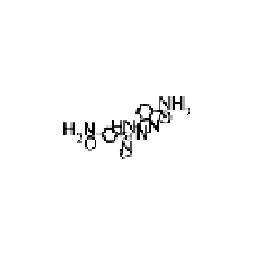 NC(=O)c1ccc([C@@H](CN2CCC2)Nc2ncnc3c(C(N)=O)cccc23)cc1